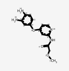 COCC(=O)Nc1cc(Oc2ccc(N)c(N)c2)ccn1